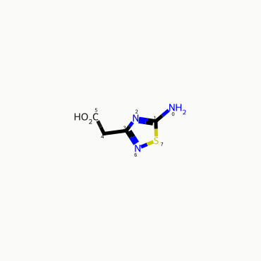 Nc1nc(CC(=O)O)ns1